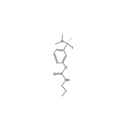 CCCNC(=O)Oc1cccc([C@](C)(I)N(C)C)c1